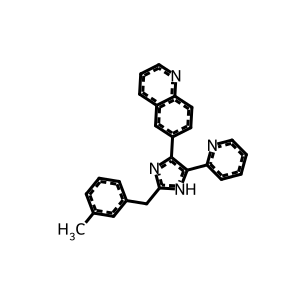 Cc1cccc(Cc2nc(-c3ccc4ncccc4c3)c(-c3ccccn3)[nH]2)c1